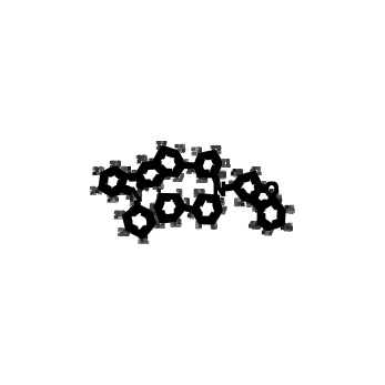 c1ccc(-c2cccc(N(c3cccc(-c4ccc5cc6c7ccccc7n(-c7ccccc7)c6cc5c4)c3)c3ccc4oc5ccccc5c4c3)c2)cc1